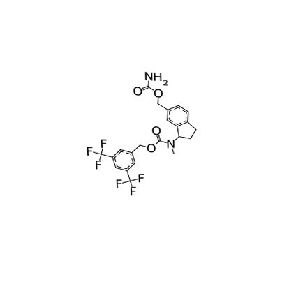 CN(C(=O)OCc1cc(C(F)(F)F)cc(C(F)(F)F)c1)C1CCc2ccc(COC(N)=O)cc21